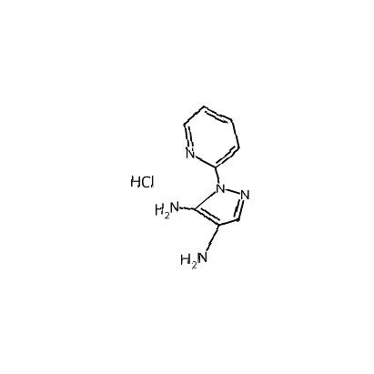 Cl.Nc1cnn(-c2ccccn2)c1N